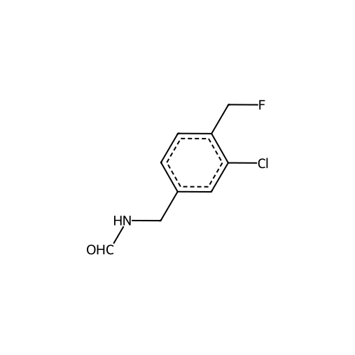 O=CNCc1ccc(CF)c(Cl)c1